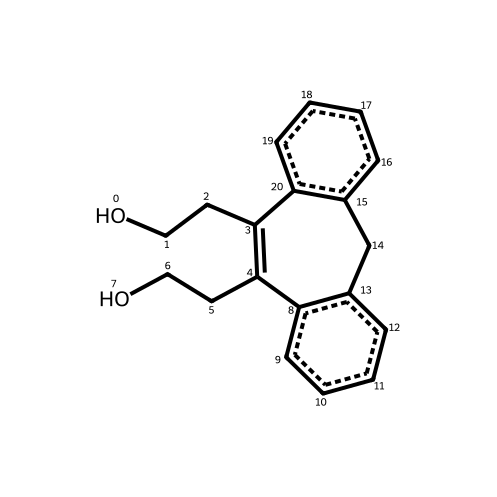 OCCC1=C(CCO)c2ccccc2Cc2ccccc21